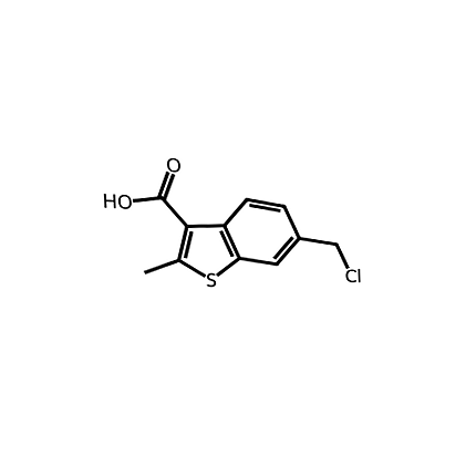 Cc1sc2cc(CCl)ccc2c1C(=O)O